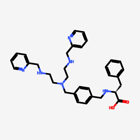 O=C(O)[C@@H](Cc1ccccc1)NCc1ccc(CN(CCNCc2ccccn2)CCNCc2ccccn2)cc1